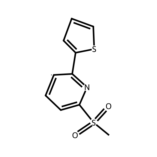 CS(=O)(=O)c1cc[c]c(-c2cccs2)n1